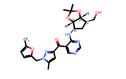 Cc1cc(C(=O)c2cncnc2N[C@@H]2C[C@H](CO)[C@H]3OC(C)(C)O[C@H]32)nn1Cc1ccc(C(F)(F)F)o1